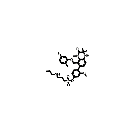 CCCNCCCS(=O)(=O)Oc1ccc(-c2ccc3c(c2COc2cc(F)ccc2C)N(C)C(=O)C(C)(C)N3)c(OC)c1